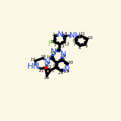 Fc1cnc(Nc2ccccc2)cc1-c1nc(N2CCNCC2)c2c(C3CC3)cncc2n1